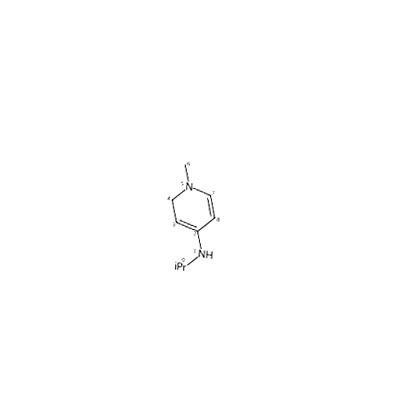 CC(C)NC1=CCN(C)C=C1